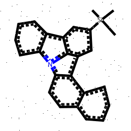 C[Si](C)(C)c1cc2c3ccccc3n3c4ccc5ccccc5c4c(c1)c23